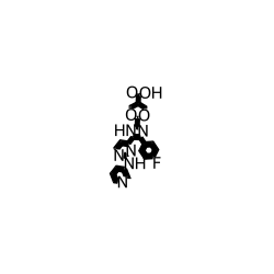 O=C(O)C1COC(c2nc(-c3ccc(F)cc3)c(-c3ccnc(Nc4cccnc4)n3)[nH]2)OC1